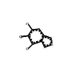 Clc1cc2[c]scc2c(Cl)c1Cl